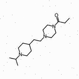 CCC(=O)N1CCN(CCC2CCN(C(C)C)CC2)CC1